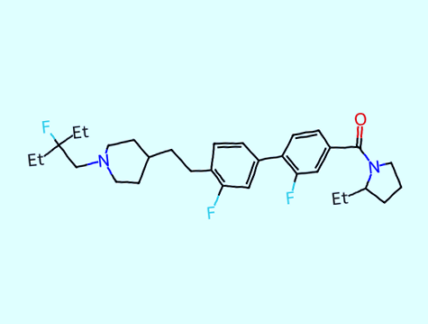 CCC1CCCN1C(=O)c1ccc(-c2ccc(CCC3CCN(CC(F)(CC)CC)CC3)c(F)c2)c(F)c1